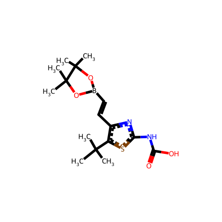 CC(C)(C)c1sc(NC(=O)O)nc1C=CB1OC(C)(C)C(C)(C)O1